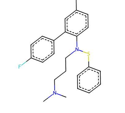 COc1ccc(N(CCCN(C)C)Sc2ccccc2)c(-c2ccc(F)cc2)c1